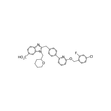 O=C(O)c1ccc2nc(Cc3ccc(-c4cccc(OCc5ccc(Cl)cc5F)n4)cc3)n(CC3CCCCO3)c2c1